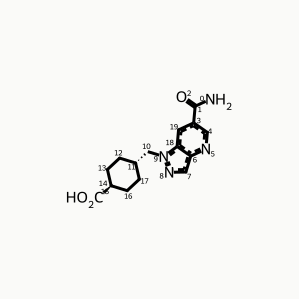 NC(=O)c1cnc2cnn(C[C@H]3CC[C@H](C(=O)O)CC3)c2c1